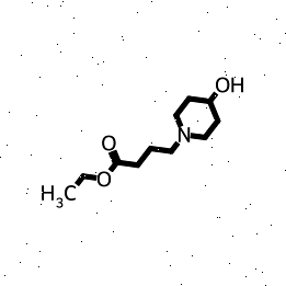 CCOC(=O)CCCN1CCC(O)CC1